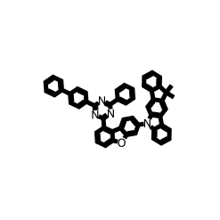 CC1(C)c2ccccc2-c2cc3c(cc21)c1ccccc1n3-c1ccc2c(c1)oc1cccc(-c3nc(-c4ccccc4)nc(-c4ccc(-c5ccccc5)cc4)n3)c12